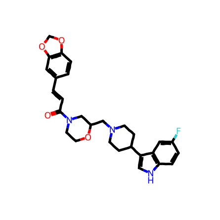 O=C(/C=C/c1ccc2c(c1)OCO2)N1CCOC(CN2CCC(c3c[nH]c4ccc(F)cc34)CC2)C1